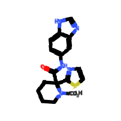 O=C(O)N1CCCCC1(C(=O)Nc1ccc2[nH]cnc2c1)c1nccs1